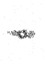 Nc1nc2c(ncn2[C@@H]2O[C@@H]3CO[P@@](=O)(S)O[C@H]4[C@@H](F)[C@H](n5cnc6c(N)ncnc65)O[C@@H]4COP(=S)(S)O[C@H]3[C@H]2F)c(=O)[nH]1